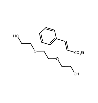 CCOC(=O)C=Cc1ccccc1.OCCOCCOCCO